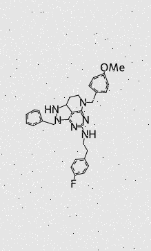 COc1ccc(CN2CCC3NN(Cc4ccccc4)c4nc(NCCc5ccc(F)cc5)nc2c43)cc1